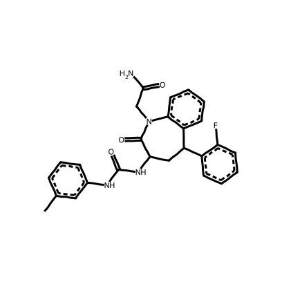 Cc1cccc(NC(=O)NC2CC(c3ccccc3F)c3ccccc3N(CC(N)=O)C2=O)c1